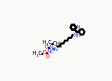 CCOC(=O)n1s/c(=N/CCCCCCCCCNc2c3c(nc4ccccc24)CCCC3)n(C(C)C)c1=O